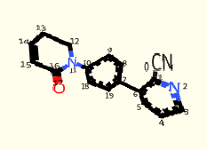 N#Cc1ncccc1-c1ccc(N2CCC=CC2=O)cc1